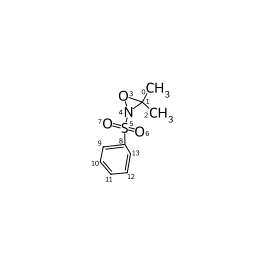 CC1(C)ON1S(=O)(=O)c1ccccc1